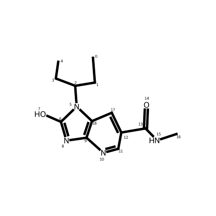 CCC(CC)n1c(O)nc2ncc(C(=O)NC)cc21